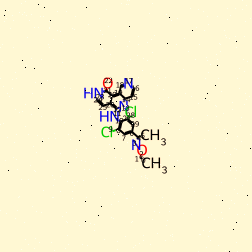 CCO/N=C(\C)c1cc(Cl)c(Nc2nc3ccncc3c3c(=O)[nH]ccc23)c(Cl)c1